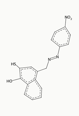 O=[N+]([O-])c1ccc(N=NCc2cc(S)c(O)c3ccccc23)cc1